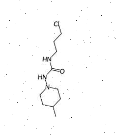 CC1CCN(NC(=O)NCCCCl)CC1